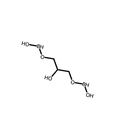 OBOCC(O)COBO